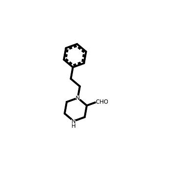 O=CC1CNCCN1CCc1ccccc1